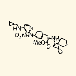 COC(=O)[C@H](Cc1ccc(Nc2nccc(NCC3CC3)c2[N+](=O)[O-])cc1)NC1=CC(=O)C12CCCCC2